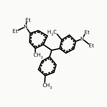 CCN(CC)c1ccc(C(c2ccc(C)cc2)c2ccc(N(CC)CC)cc2C)c(C)c1